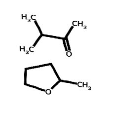 CC(=O)C(C)C.CC1CCCO1